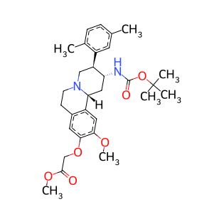 COC(=O)COc1cc2c(cc1OC)[C@H]1C[C@@H](NC(=O)OC(C)(C)C)[C@H](c3cc(C)ccc3C)CN1CC2